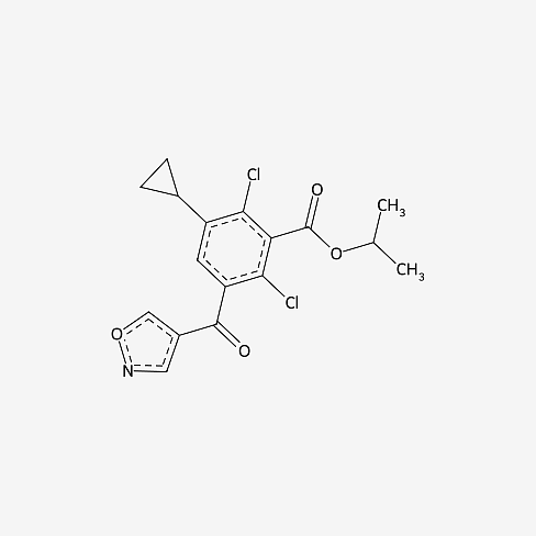 CC(C)OC(=O)c1c(Cl)c(C(=O)c2cnoc2)cc(C2CC2)c1Cl